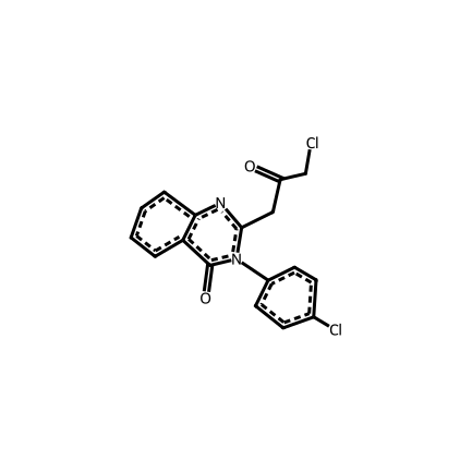 O=C(CCl)Cc1nc2ccccc2c(=O)n1-c1ccc(Cl)cc1